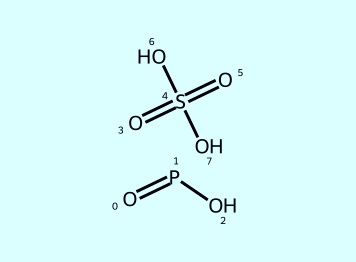 O=PO.O=S(=O)(O)O